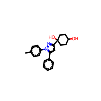 Cc1ccc(-n2nc(C3(O)CCC(O)CC3)cc2-c2ccccc2)cc1